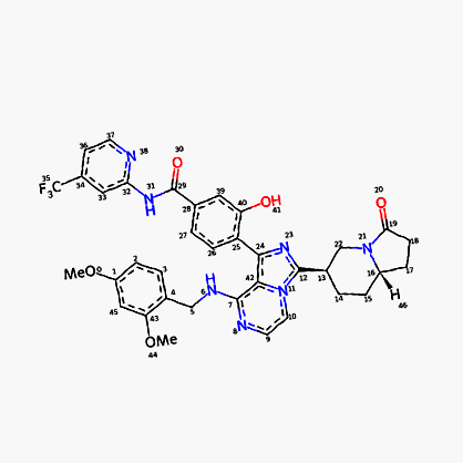 COc1ccc(CNc2nccn3c([C@@H]4CC[C@H]5CCC(=O)N5C4)nc(-c4ccc(C(=O)Nc5cc(C(F)(F)F)ccn5)cc4O)c23)c(OC)c1